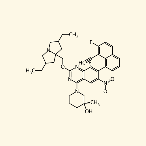 C#Cc1c(F)ccc2cccc(-c3c([N+](=O)[O-])cc4c(N5CCC[C@@](C)(O)C5)nc(OCC56CC(CC)CN5CC(CC)C6)nc4c3F)c12